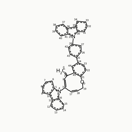 C=C1/C=C(n2c3ccccc3c3ccccc32)\C=C/COc2ccc(-c3ccc(-n4c5ccccc5c5ccccc54)cc3)cc21